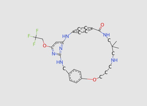 CC1(C)CNCCCOc2ccc(cc2)CNc2nc(cc(OCC(F)(F)F)n2)Nc2ccc(cc2)C(=O)NC1